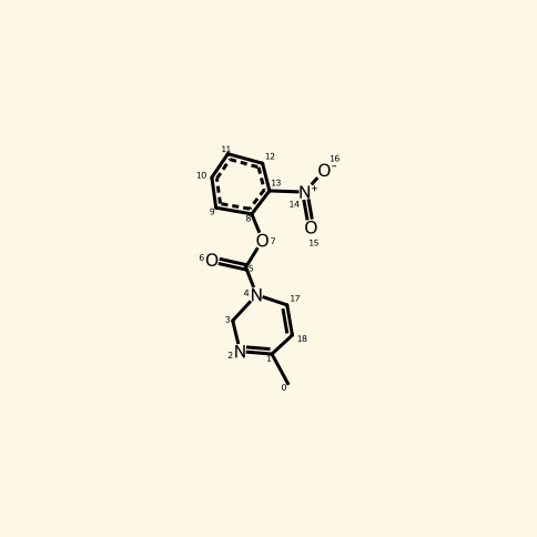 CC1=NCN(C(=O)Oc2ccccc2[N+](=O)[O-])C=C1